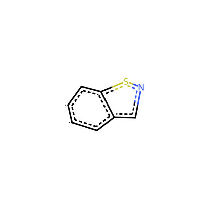 [c]1[c]cc2sncc2c1